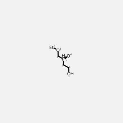 CCOC[PH](=O)CCO